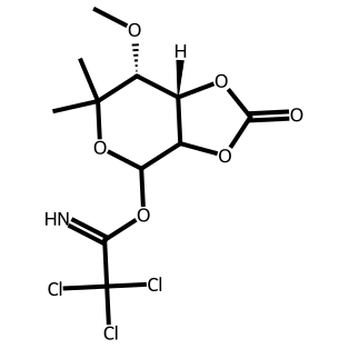 CO[C@@H]1[C@@H]2OC(=O)OC2C(OC(=N)C(Cl)(Cl)Cl)OC1(C)C